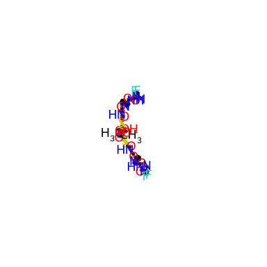 CN(C(=O)CCSSCCC(=O)NCCCOc1cccc2c(C(=O)NCC(=O)N3CC(F)(F)C[C@H]3C#N)ccnc12)[C@@](C)(C(=O)O)C(=O)CCSSCCC(=O)NCCCOc1cccc2c(C(=O)NCC(=O)N3CC(F)(F)C[C@H]3C#N)ccnc12